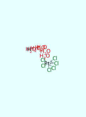 O.O.O.O.O.O.[Cl][Pt-2]([Cl])([Cl])([Cl])([Cl])[Cl].[H+]